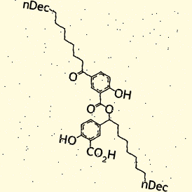 CCCCCCCCCCCCCCCCCC(=O)c1ccc(O)c(C(=O)OC(CCCCCCCCCCCCCCCCC)c2ccc(O)c(C(=O)O)c2)c1